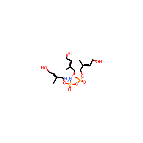 C/C(=C\CO)COP(N)(=O)OP(=O)(OC/C(C)=C/CO)OC/C(C)=C/CO